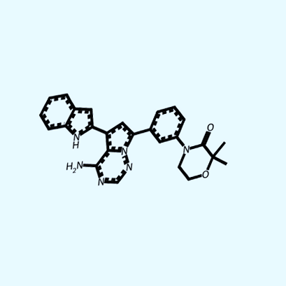 CC1(C)OCCN(c2cccc(-c3cc(-c4cc5ccccc5[nH]4)c4c(N)ncnn34)c2)C1=O